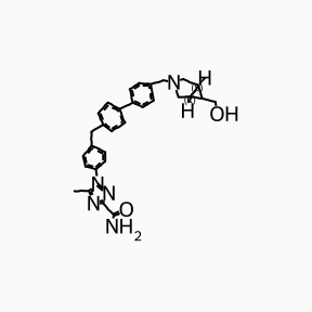 Cc1nc(C(N)=O)nn1-c1ccc(Cc2ccc(-c3ccc(CN4C[C@@H]5C(CO)[C@@H]5C4)cc3)cc2)cc1